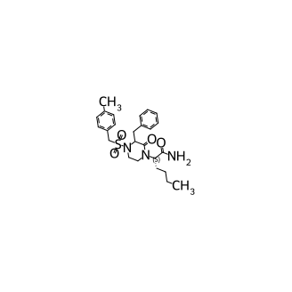 CCCC[C@@H](C(N)=O)N1CCN(S(=O)(=O)Cc2ccc(C)cc2)C(Cc2ccccc2)C1=O